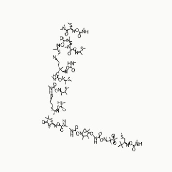 CNC(=O)O/N=C(/C)SCCC#N.CNC(=O)O/N=C(\C)C(C)S(C)(=O)=O.CNC(=O)O/N=C(\C)C(C)SC.CNC(=O)O/N=C(\C)SC.CNC(=O)O/N=C/C(C)(C)S(C)(=O)=O.CNC(=O)O/N=C1\SC(C)(C)C(=O)N1C.CNC(=O)O/N=C\C(C)(C)CCC#N.CNC(=O)ON=C(CSC)C(C)(C)C.CNC(=O)ON=C(SC)C(=O)N(C)C.CS/C(C)=N\OC(=O)N(C)SN(C)C(=O)O/N=C(/C)SC